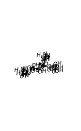 CO[C@@H]1[C@H](OP(=O)(O)OC[C@H]2O[C@@H](n3cnc4c(=O)[nH]c(N)nc43)[C@H](O)[C@@H]2O)[C@@H](COP(=O)(O)CP(=O)(O)OP(=O)(O)O)O[C@H]1n1cnc2c(N)ncnc21